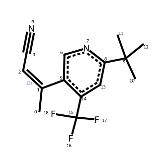 C/C(=C/C#N)c1cnc(C(C)(C)C)cc1C(F)(F)F